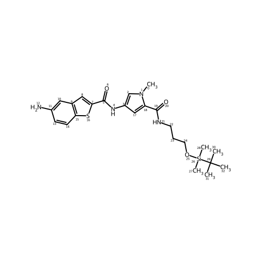 Cn1cc(NC(=O)c2cc3cc(N)ccc3s2)cc1C(=O)NCCCO[Si](C)(C)C(C)(C)C